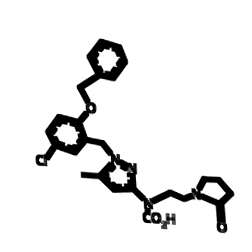 Cc1cc(N(CCN2CCCC2=O)C(=O)O)nn1Cc1cc(Cl)ccc1OCc1ccccc1